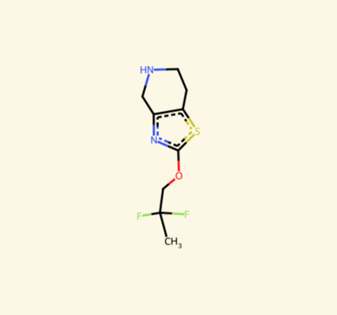 CC(F)(F)COc1nc2c(s1)CCNC2